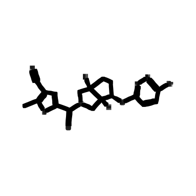 Cc1sc(C(=O)N2C[C@@H]3CC[C@@H](Oc4ccc(Br)nn4)[C@@H]3C2)cc1C#N